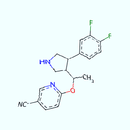 CC(Oc1ccc(C#N)cn1)C1CNCC1c1ccc(F)c(F)c1